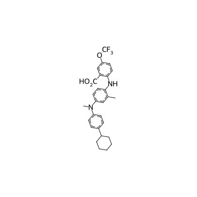 Cc1cc(N(C)c2ccc(C3CCCCC3)cc2)ccc1Nc1ccc(OC(F)(F)F)cc1C(=O)O